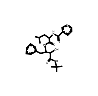 CC(C)CC(NC(=O)c1cccnc1)C(=O)NC(Cc1ccccc1)C(O)C(=O)NC(C)(C)C